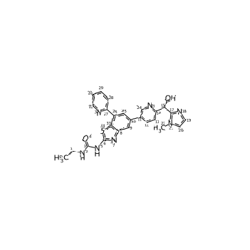 CCNC(=O)Nc1nc2cc(-c3ccc(C(O)c4nccn4C)nc3)cc(-c3ccccn3)c2s1